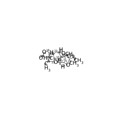 CCC(C)(C)[C@]12O[C@H]1[C@@H]1O[C@@]13[C@@]1(C)CC(C)C4=C(COC4=O)[C@@H]1C[C@@H]1O[C@@]13C2C